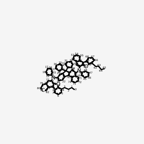 CCCCc1cccc2c1oc1c(N(c3ccccc3)c3ccc4c(c3)C(c3ccccc3)(c3ccccc3)c3cc(N(c5ccccc5)c5cc6ccccc6c6c5oc5c(CCCC)cccc56)c5ccccc5c3-4)cc3ccccc3c12